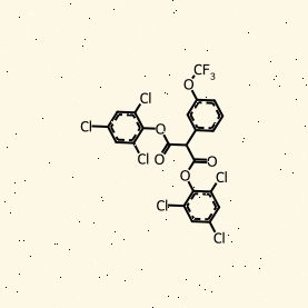 O=C(Oc1c(Cl)cc(Cl)cc1Cl)C(C(=O)Oc1c(Cl)cc(Cl)cc1Cl)c1cccc(OC(F)(F)F)c1